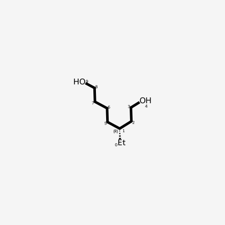 CC[C@@H](CCO)CCCCO